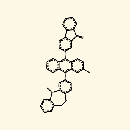 C=C1c2ccccc2-c2ccc(-c3c4ccccc4c(-c4ccc5c(c4)N(C)c4ccccc4CC5)c4cc(C)ccc34)cc21